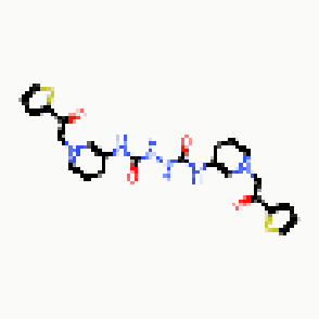 O=C(NNC(=O)NC1=CN(CC(=O)c2cccs2)C=CC1)NC1=CN(CC(=O)c2cccs2)C=CC1